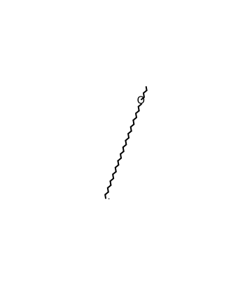 [CH2]CCCCCCCCCCCCCCCCCCCCCCCCCCCCOCCCC